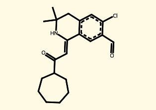 CC1(C)Cc2cc(Cl)c(C=O)cc2C(=CC(=O)C2CCCCCC2)N1